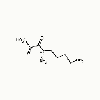 C=C(C(=O)O)C(=O)[C@@H](N)CCCCN